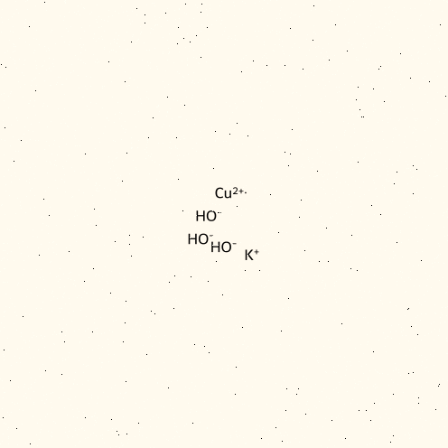 [Cu+2].[K+].[OH-].[OH-].[OH-]